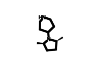 C[C@@H]1CC[C@@H](C)N1C1CCNCC1